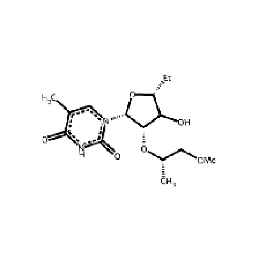 CC[C@H]1O[C@@H](n2cc(C)c(=O)[nH]c2=O)[C@@H](O[C@@H](C)COC)C1O